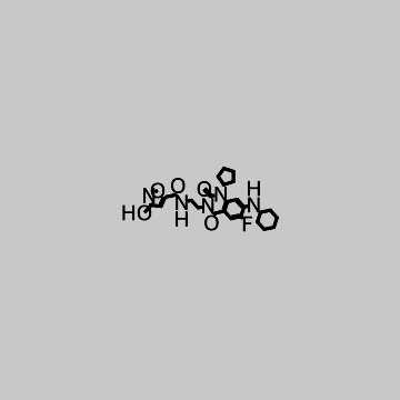 O=C(NCCn1c(=O)c2cc(F)c(NC3CCCCC3)cc2n(C2CCCC2)c1=O)c1cc(O)no1